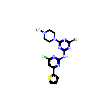 CCc1nc(Nc2nc(Cl)cc(-c3cccs3)n2)nc(N2CCN(C)CC2)n1